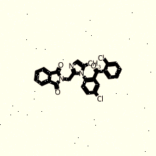 Cc1cnc(CN2C(=O)c3ccccc3C2=O)n1-c1ccc(Cl)cc1C(=O)c1ccccc1Cl